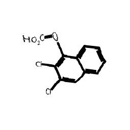 O=C(O)Oc1c(Cl)c(Cl)cc2ccccc12